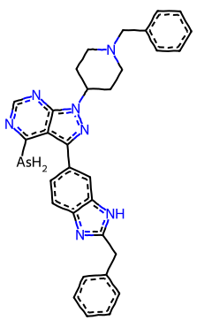 [AsH2]c1ncnc2c1c(-c1ccc3nc(Cc4ccccc4)[nH]c3c1)nn2C1CCN(Cc2ccccc2)CC1